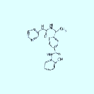 CC(NC(=O)Nc1cccnc1)c1ccc(C(=O)Nc2ccccc2O)cc1